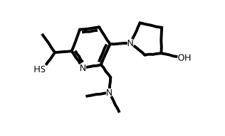 CC(S)c1ccc(N2CCC(O)C2)c(CN(C)C)n1